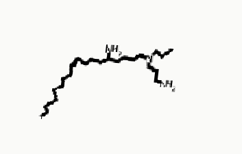 CCCCCCCC/C=C\CCCC(N)CCCCN(CCC)CCCN